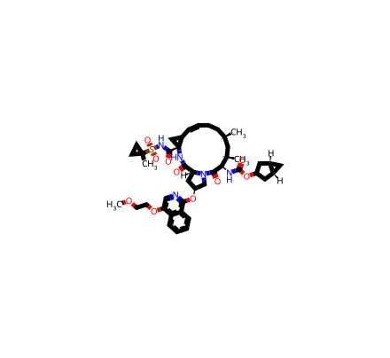 COCCOc1cnc(O[C@@H]2C[C@H]3C(=O)N[C@]4(C(=O)NS(=O)(=O)C5(C)CC5)CC4/C=C\CC[C@@H](C)C[C@@H](C)[C@H](NC(=O)OC4C[C@@H]5C[C@@H]5C4)C(=O)N3C2)c2ccccc12